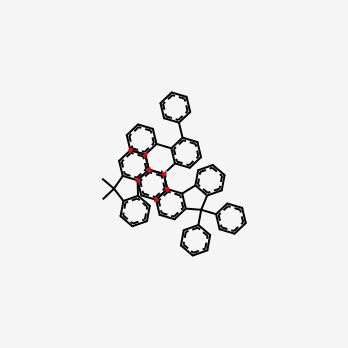 CC1(C)c2ccccc2-c2c(N(c3cccc(-c4ccccc4)c3-c3ccccc3-c3ccccc3)c3cccc4c3-c3ccccc3C4(c3ccccc3)c3ccccc3)cccc21